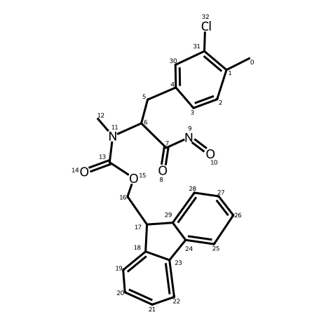 Cc1ccc(CC(C(=O)N=O)N(C)C(=O)OCC2c3ccccc3-c3ccccc32)cc1Cl